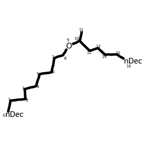 CCCCCCCCCCCCCCCCCCOC(C)CCCCCCCCCCCCCC